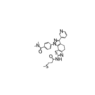 CSCCC(=O)Nc1nc2c(s1)-c1c(c(-c3cccnc3)nn1-c1ccc(C(=O)N(C)C)cc1)CC2